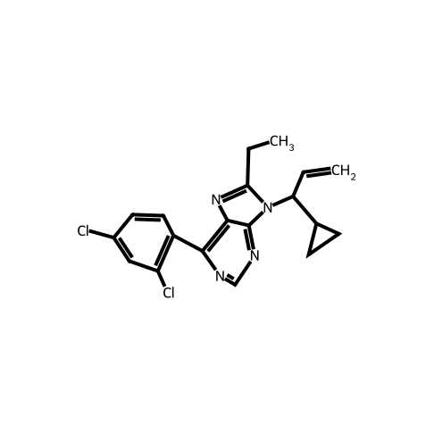 C=CC(C1CC1)n1c(CC)nc2c(-c3ccc(Cl)cc3Cl)ncnc21